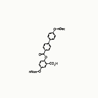 CCCCCCCCCCOc1ccc(-c2ccc(C(=O)Oc3ccc(OCCCCCCCCC)cc3C(=O)O)cc2)cc1